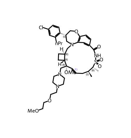 CCCc1cc(Cl)ccc1[C@@H]1COc2ccc3cc2N(C1)C[C@@H]1CC[C@H]1[C@@](CN1CCN(CCOCCOC)CC1)(OC)/C=C/C[C@H](C)[C@@H](C)S(=O)(=O)NC3=O